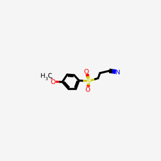 COc1ccc(S(=O)(=O)CCC#N)cc1